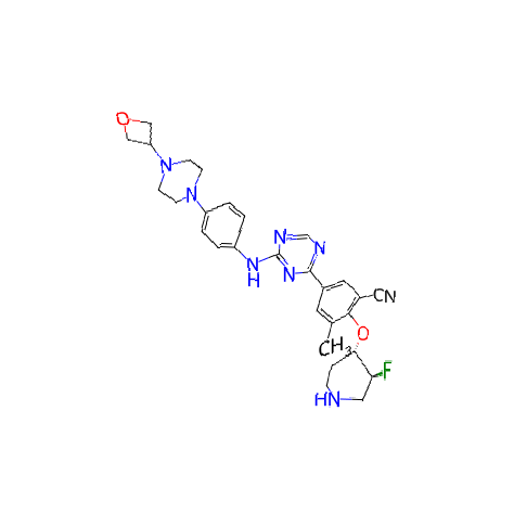 Cc1cc(-c2ncnc(Nc3ccc(N4CCN(C5COC5)CC4)cc3)n2)cc(C#N)c1O[C@H]1CCNC[C@@H]1F